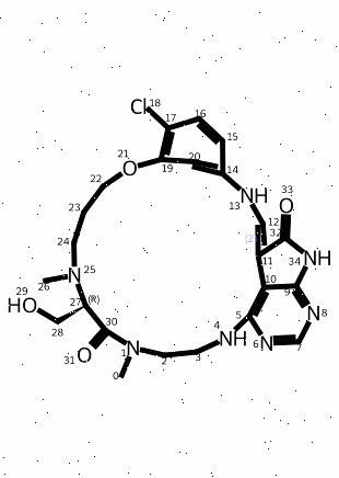 CN1CCNc2ncnc3c2/C(=C/Nc2ccc(Cl)c(c2)OCCCN(C)[C@H](CO)C1=O)C(=O)N3